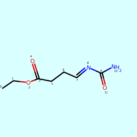 CCOC(=O)CCC=NC(N)=O